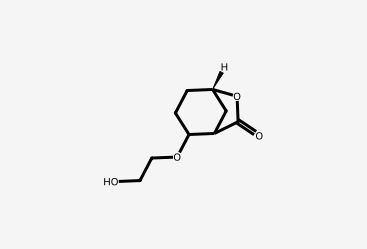 O=C1O[C@H]2CCC(OCCO)C1C2